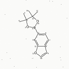 CC1(C)OB(c2ccc3ccoc3c2)OC1(C)C